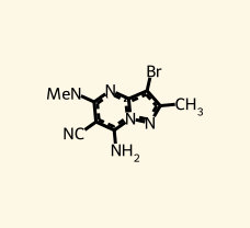 CNc1nc2c(Br)c(C)nn2c(N)c1C#N